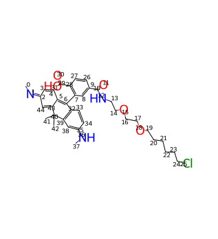 CN=C1C=CC2=C(c3cc(C(=O)NCCOCCOCCCCCCCl)ccc3C(=O)O)c3ccc(NC)cc3C(C)(C)C2=C1